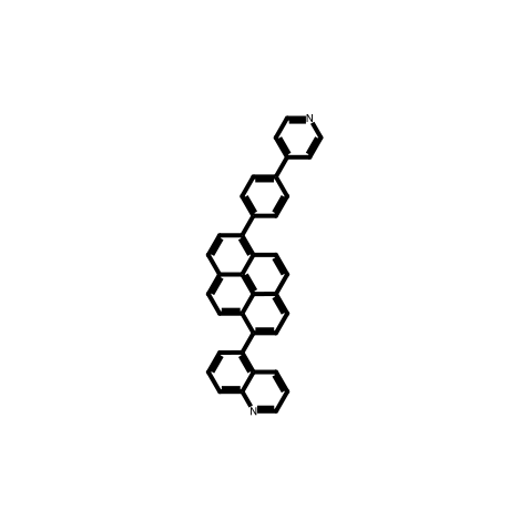 c1cc(-c2ccc3ccc4c(-c5ccc(-c6ccncc6)cc5)ccc5ccc2c3c54)c2cccnc2c1